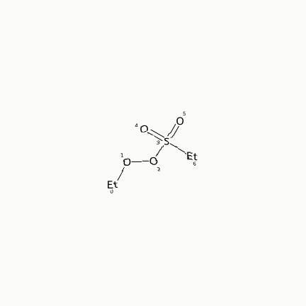 CCOOS(=O)(=O)CC